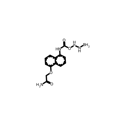 BNPOC(=O)Nc1cccc2c(OCC(N)=O)cccc12